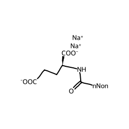 CCCCCCCCCC(=O)N[C@@H](CCC(=O)[O-])C(=O)[O-].[Na+].[Na+]